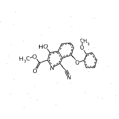 COC(=O)c1nc(C#N)c2c(Oc3ccccc3OC)cccc2c1O